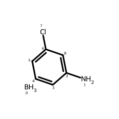 B.Nc1cccc(Cl)c1